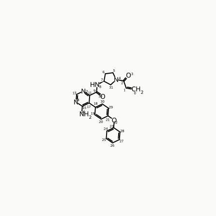 C=CC(=O)N1CC[C@H](NC(=O)c2ncnc(N)c2-c2ccc(Oc3ccccc3)cc2)C1